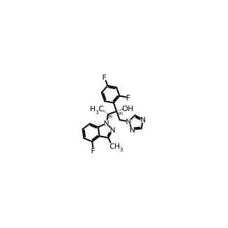 Cc1nn([C@H](C)[C@](O)(Cn2cncn2)c2ccc(F)cc2F)c2cccc(F)c12